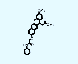 COC(=O)CC(c1ccc2ccc(OCC(=O)NC3C=CCCC3)cc2c1)c1ccc(OC)cc1C